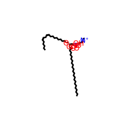 CCCCC/C=C\C/C=C\CCCCCCCCOC[C@H](COP(=O)(O)OCC[N+](C)(C)C)OC(=O)CCCCCCCCCCCCCCCCCCCCCCC